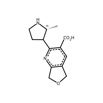 C[C@H]1NCCC1c1nc2c(cc1C(=O)O)COC2